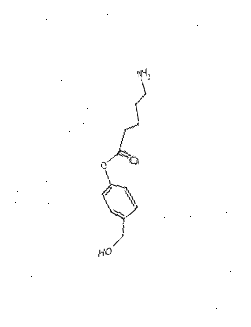 NCCCCC(=O)Oc1ccc(CO)cc1